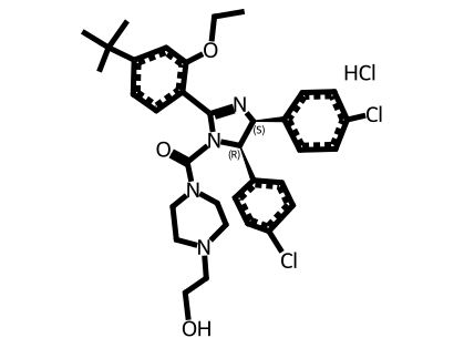 CCOc1cc(C(C)(C)C)ccc1C1=N[C@@H](c2ccc(Cl)cc2)[C@@H](c2ccc(Cl)cc2)N1C(=O)N1CCN(CCO)CC1.Cl